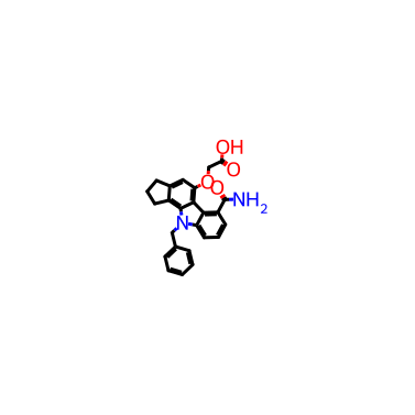 NC(=O)c1cccc2c1c1c(OCC(=O)O)cc3c(c1n2Cc1ccccc1)CCC3